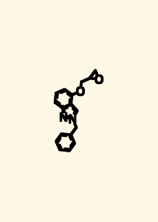 c1ccc(Cn2cc3c(OCC4CO4)cccc3n2)cc1